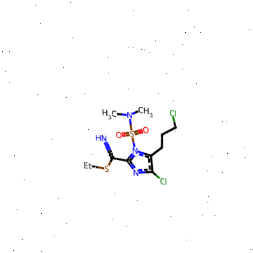 CCSC(=N)c1nc(Cl)c(CCCCl)n1S(=O)(=O)N(C)C